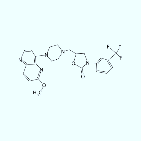 COc1ccc2nccc(N3CCN(CC4CN(c5cccc(C(F)(F)F)c5)C(=O)O4)CC3)c2n1